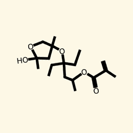 C=C(C)C(=O)OC(C)CC(CC)(CC)OC1(C)COC(C)(O)C1